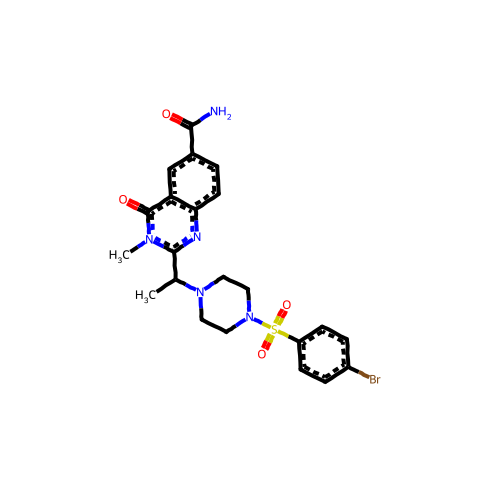 CC(c1nc2ccc(C(N)=O)cc2c(=O)n1C)N1CCN(S(=O)(=O)c2ccc(Br)cc2)CC1